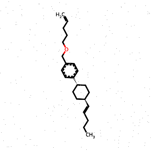 C=CCCCOCc1ccc([C@H]2CC[C@H](C=CCCC)CC2)cc1